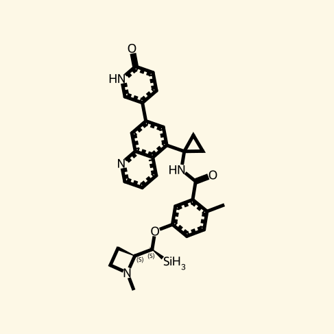 Cc1ccc(O[C@@H]([SiH3])[C@@H]2CCN2C)cc1C(=O)NC1(c2cc(-c3ccc(=O)[nH]c3)cc3ncccc23)CC1